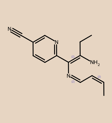 C\C=C/C=N\C(=C(/N)CC)c1ccc(C#N)cn1